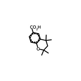 CC1(C)CC(C)(C)c2cc(C(=O)O)ccc2O1